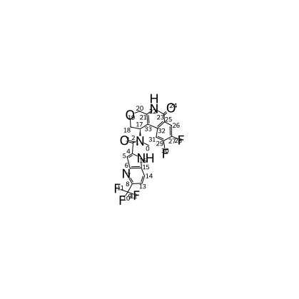 CN(C(=O)c1cc2nc(C(F)(F)F)ccc2[nH]1)[C@H]1COCc2[nH]c(=O)c3cc(F)c(F)cc3c21